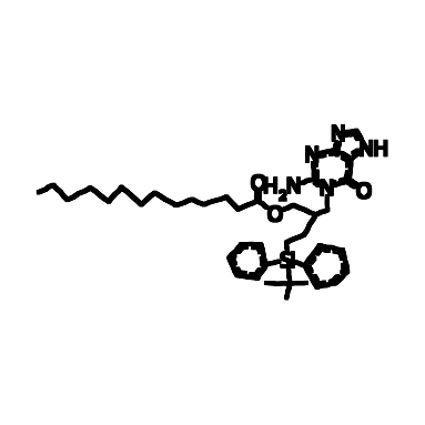 CCCCCCCCCCCCCC(=O)OCC(CC[Si](c1ccccc1)(c1ccccc1)C(C)(C)C)Cn1c(N)nc2nc[nH]c2c1=O